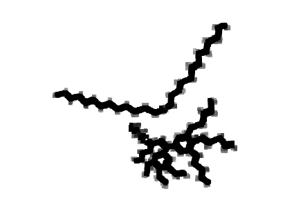 CCCCCCCCCCCC[CH2][Ni][CH2]CCCCCCCCCCCC.CCCCCc1cc(C(=CC(=C=[N+]=[N-])CCCC)c2cc(CC)c(CC)c(CC)c2)cc(CCCCC)c1CCCCC